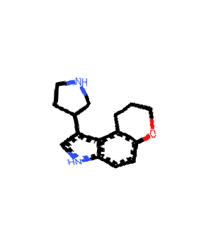 c1cc2[nH]cc(C3CCNC3)c2c2c1OCCC2